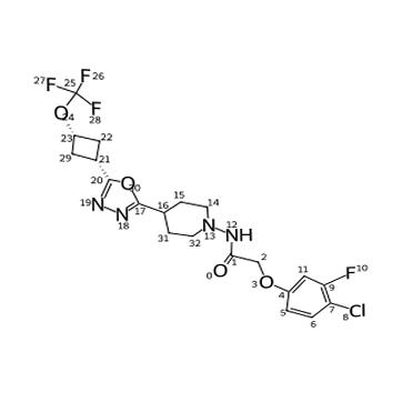 O=C(COc1ccc(Cl)c(F)c1)NN1CCC(c2nnc([C@H]3C[C@@H](OC(F)(F)F)C3)o2)CC1